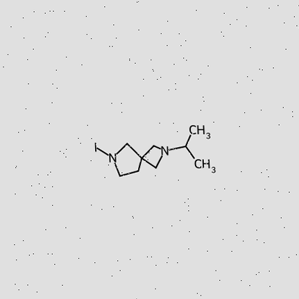 CC(C)N1CC2(CCN(I)C2)C1